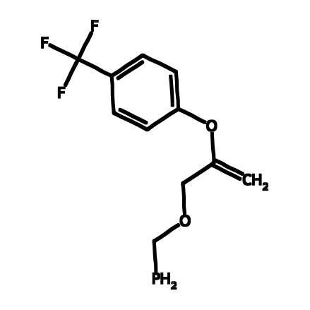 C=C(COCP)Oc1ccc(C(F)(F)F)cc1